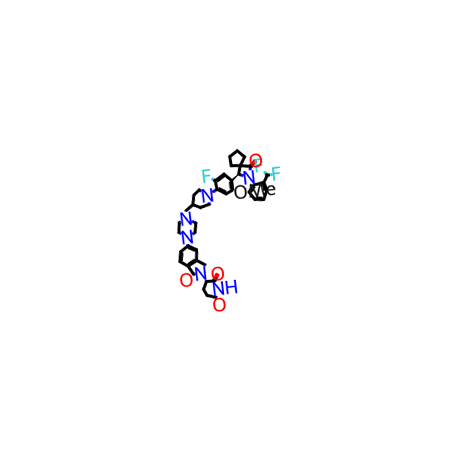 COc1cc(N2CCC(CN3CCN(c4ccc5c(c4)CN([C@H]4CCC(=O)NC4=O)C5=O)CC3)CC2)c(F)cc1[C@@H]1N(c2ccccc2C(F)F)C(=O)C12CCCC2